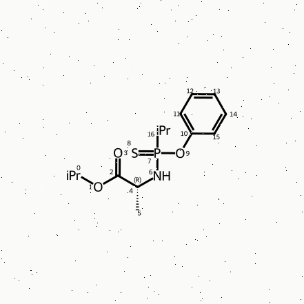 CC(C)OC(=O)[C@@H](C)NP(=S)(Oc1ccccc1)C(C)C